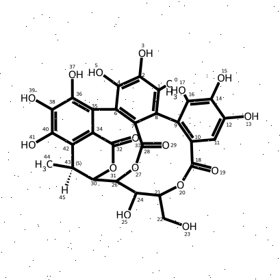 Cc1c(O)c(O)c2c3c1-c1c(cc(O)c(O)c1O)C(=O)OC(CO)C(O)C(OC3=O)C1OC(=O)c3c-2c(O)c(O)c(O)c3[C@@H]1C